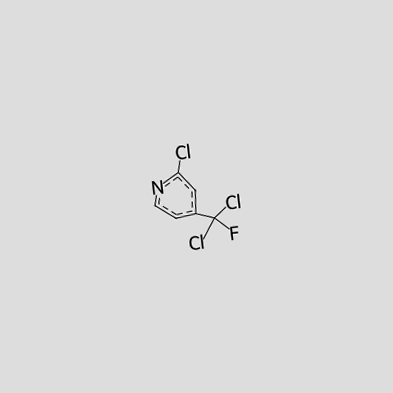 FC(Cl)(Cl)c1ccnc(Cl)c1